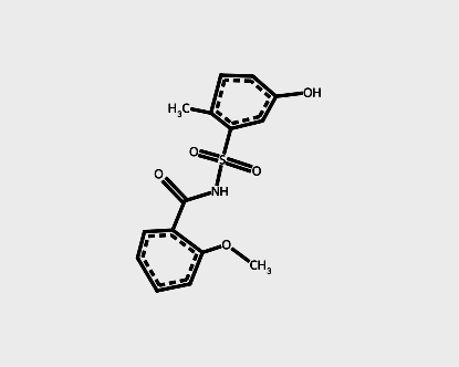 COc1ccccc1C(=O)NS(=O)(=O)c1cc(O)ccc1C